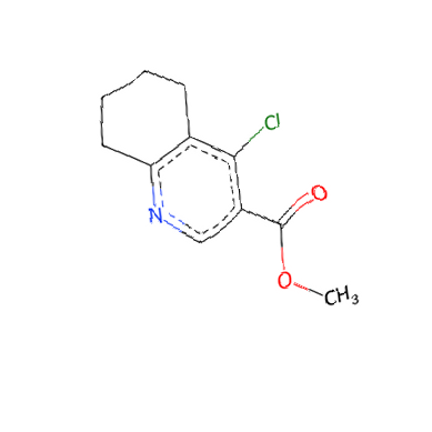 COC(=O)c1cnc2c(c1Cl)CCCC2